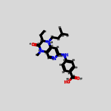 CCC1C(=O)N(C)c2cnc(Nc3ccc(C(=O)O)cc3)cc2N1CCC(C)C